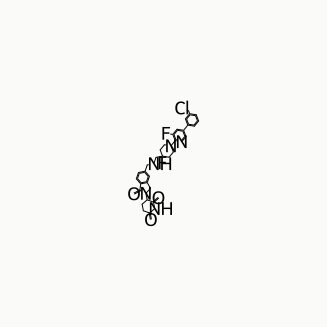 O=C1CCC(N2Cc3cc(CNCC4(F)CCN(c5ncc(-c6cccc(Cl)c6)cc5F)CC4)ccc3C2=O)C(=O)N1